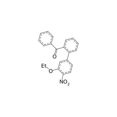 CCOc1cc(-c2ccccc2C(=O)c2ccccc2)ccc1[N+](=O)[O-]